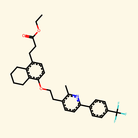 CCOC(=O)CCc1ccc(OCCc2ccc(-c3ccc(C(F)(F)F)cc3)nc2C)c2c1CCCC2